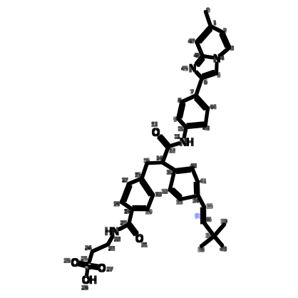 Cc1ccn2cc(-c3ccc(NC(=O)C(Cc4ccc(C(=O)NCCS(=O)(=O)O)cc4)c4ccc(/C=C/C(C)(C)C)cc4)cc3)nc2c1